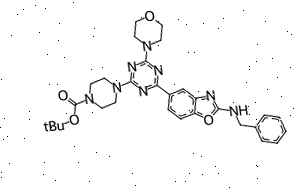 CC(C)(C)OC(=O)N1CCN(c2nc(-c3ccc4oc(NCc5ccccc5)nc4c3)nc(N3CCOCC3)n2)CC1